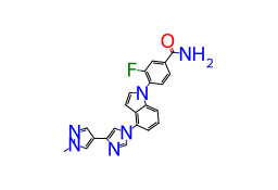 Cn1cc(-c2cn(-c3cccc4c3ccn4-c3ccc(C(N)=O)cc3F)cn2)cn1